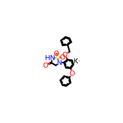 O=C1CN(c2cc(Oc3ccccc3)ccc2OCc2ccccc2)S(=O)(=O)N1.[K]